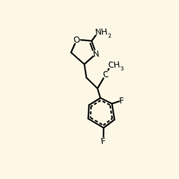 CCC(CC1COC(N)=N1)c1ccc(F)cc1F